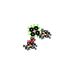 CC(=O)O.CC(C)P(C(C)C)C(C)C.CC(C)P(C(C)C)C(C)C.Fc1c(F)c(F)c([B-](c2c(F)c(F)c(F)c(F)c2F)(c2c(F)c(F)c(F)c(F)c2F)c2c(F)c(F)c(F)c(F)c2F)c(F)c1F